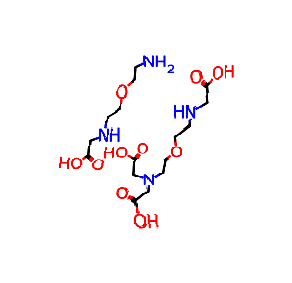 NCCOCCNCC(=O)O.O=C(O)CNCCOCCN(CC(=O)O)CC(=O)O